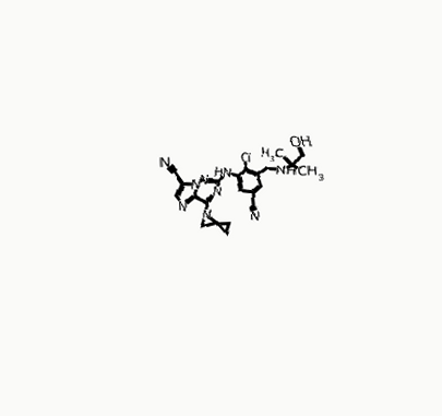 CC(C)(CO)NCc1cc(C#N)cc(Nc2nc(N3CC34CC4)c3ncc(C#N)n3n2)c1Cl